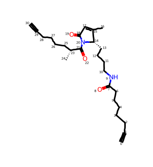 C#CCCCCCC(=O)NCCCC[C@H]1C(C)=CC(=O)N1C(=O)[C@H](C)CCCCC#C